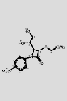 COCO[C@H]1C(=O)N(c2ccc(OC)cc2)C1[C@H](O)CO